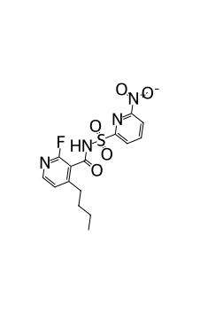 CCCCc1ccnc(F)c1C(=O)NS(=O)(=O)c1cccc([N+](=O)[O-])n1